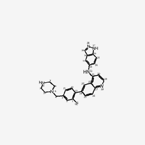 Fc1cc(CN2CCNCC2)ccc1-c1ccc2nccc(Nc3ccc4[nH]ncc4c3)c2c1